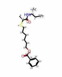 CC(=O)[C@H](CC(C)C)NC(=O)[C@H](C)SCCCCCCOC(=O)c1ccccc1